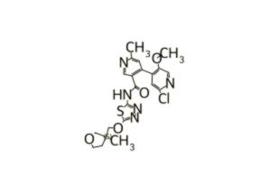 COc1cnc(Cl)cc1-c1cc(C)ncc1C(=O)Nc1nnc(OC[C@@]2(C)CCOC2)s1